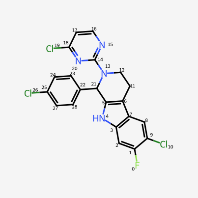 Fc1cc2[nH]c3c(c2cc1Cl)CCN(c1nccc(Cl)n1)C3c1ccc(Cl)cc1